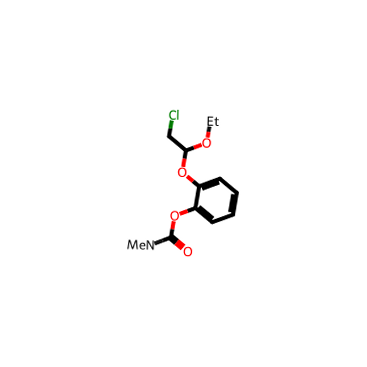 CCOC(CCl)Oc1ccccc1OC(=O)NC